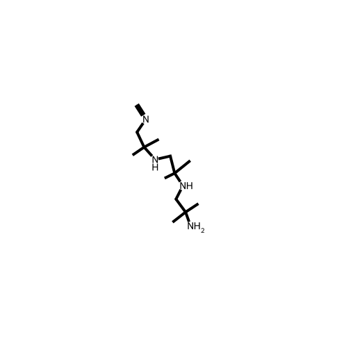 C=NCC(C)(C)NCC(C)(C)NCC(C)(C)N